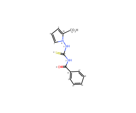 O=C(NC(=S)Nn1cccc1C(=O)O)c1ccccc1